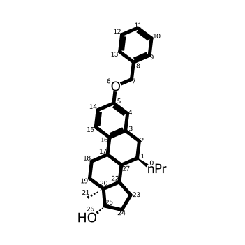 CCC[C@@H]1Cc2cc(OCc3ccccc3)ccc2C2CC[C@@]3(C)C(CC[C@@H]3O)C21